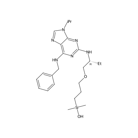 CC[C@H](COCCC[Si](C)(C)O)Nc1nc(NCc2ccccc2)c2ncn(C(C)C)c2n1